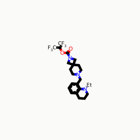 CCN1CCCc2cccc(CN3CCC4(CC3)CN(C(=O)OC(C(F)(F)F)C(F)(F)F)C4)c21